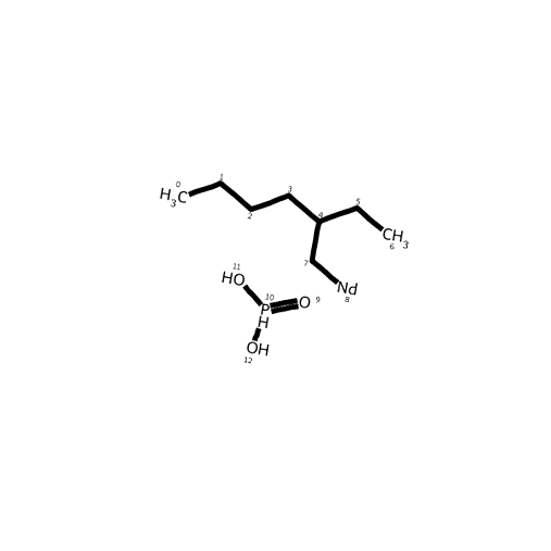 CCCCC(CC)[CH2][Nd].O=[PH](O)O